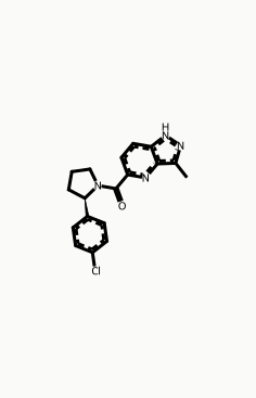 Cc1n[nH]c2ccc(C(=O)N3CCC[C@@H]3c3ccc(Cl)cc3)nc12